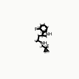 CC(Cc1c[nH]c2cccc(F)c12)NCC1(F)CC1